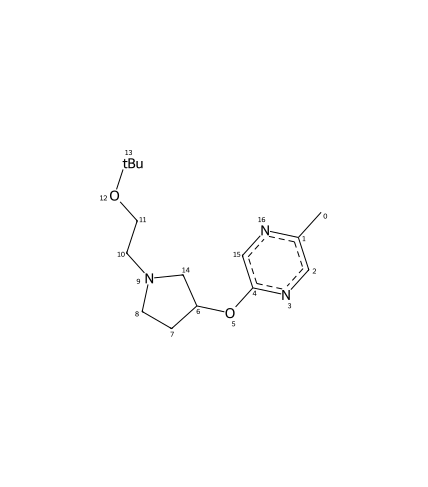 Cc1cnc(OC2CCN(CCOC(C)(C)C)C2)cn1